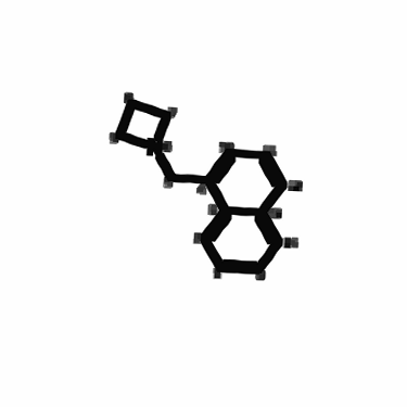 c1ccc2c(CN3CCC3)cccc2c1